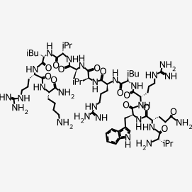 CC[C@H](C)[C@H](NC(=O)[C@H](CCCNC(=N)N)NC(=O)[C@H](Cc1c[nH]c2ccccc12)NC(=O)[C@H](CCC(N)=O)NC(=O)[C@@H](N)C(C)C)C(=O)N[C@@H](CCCNC(=N)N)C(=O)N[C@H](C(=O)N[C@@H](C)C(=O)N[C@H](C(=O)N[C@H](C(=O)N[C@@H](CCCNC(=N)N)C(=O)N[C@@H](CCCCN)C(N)=O)[C@@H](C)CC)C(C)C)C(C)C